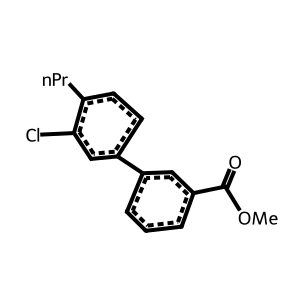 CCCc1ccc(-c2cccc(C(=O)OC)c2)cc1Cl